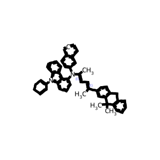 C/C(=C\C=C(/C)N(c1ccc2ccccc2c1)c1cccc2c1c1ccc#cc1n2C1=CCCC=C1)c1ccc2c(c1)C(C)(C)c1ccccc1C2